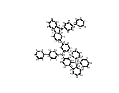 c1ccc(-c2ccc(N(c3cccc(-c4ccc5c6ccccc6n(-c6ccc(-c7ccccc7)cc6)c5c4)c3)c3ccc4c(c3)C(c3ccccc3)(c3ccccc3)c3ccccc3-4)cc2)cc1